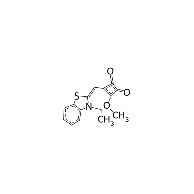 CCN1C(=Cc2c(OC)c(=O)c2=O)Sc2ccccc21